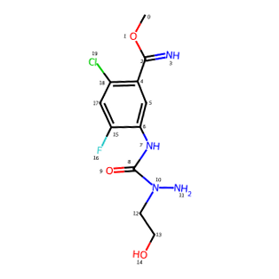 COC(=N)c1cc(NC(=O)N(N)CCO)c(F)cc1Cl